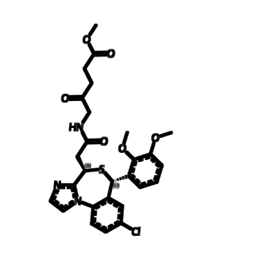 COC(=O)CCC(=O)CNC(=O)C[C@H]1S[C@H](c2cccc(OC)c2OC)c2cc(Cl)ccc2-n2ccnc21